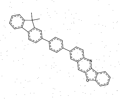 CC1(C)c2ccccc2-c2ccc(-c3ccc(-c4ccc5nc6c(cc5c4)oc4ccccc46)cc3)cc21